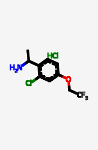 CC(N)c1ccc(OCC(F)(F)F)cc1Cl.Cl